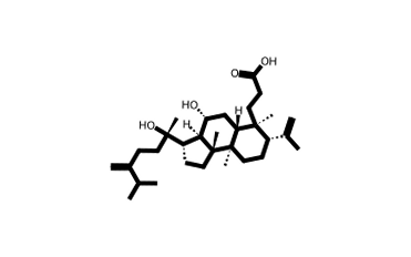 C=C(CC[C@](C)(O)[C@H]1CC[C@]2(C)[C@@H]1[C@H](O)C[C@@H]1[C@@](C)(CCC(=O)O)[C@H](C(=C)C)CC[C@]12C)C(C)C